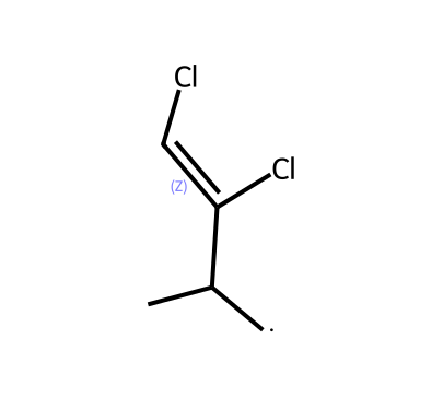 [CH2]C(C)/C(Cl)=C/Cl